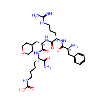 N=C(N)NCCC[C@@H](NC(=O)[C@@H](N)Cc1ccccc1)C(=O)N[C@@H](CC1CCOCC1)C(=O)N[C@@H](CCCCNC(=O)O)C(N)=O